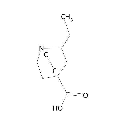 CCC1CC2(C(=O)O)CCN1CC2